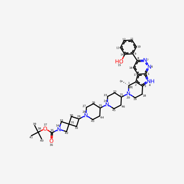 C[C@@H]1c2c([nH]c3nnc(-c4ccccc4O)cc23)CCN1C1CCN(C2CCN(C3CC4(C3)CN(C(=O)OC(C)(C)C)C4)CC2)CC1